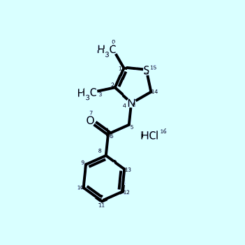 CC1=C(C)N(CC(=O)c2ccccc2)CS1.Cl